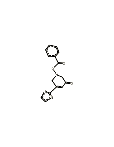 O=C1C=C(c2ncco2)CN(OC(=O)c2ccccc2)C1